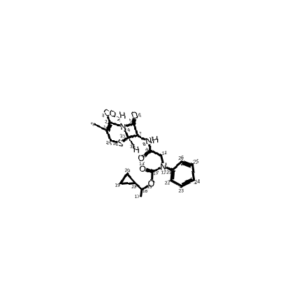 CC1=C(C(=O)O)N2C(=O)C(NC(=O)CN(C(=O)OC(C)C3CC3)c3ccccc3)[C@@H]2SC1